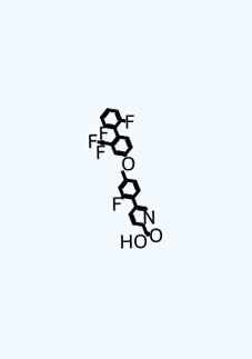 O=C(O)c1ccc(-c2ccc(COc3ccc(-c4ccccc4F)c(C(F)(F)F)c3)cc2F)cn1